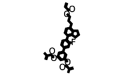 C=CC(=O)OCCCc1ccc(-c2ccc(-c3cc(OC(=O)C(=C)C)cc(OC(=O)C(=C)C)c3)cc2F)c2c1CCC2